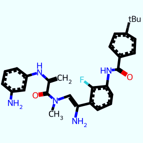 C=C(Nc1cccc(N)c1)C(=O)N(C)/C=C(\N)c1cccc(NC(=O)c2ccc(C(C)(C)C)cc2)c1F